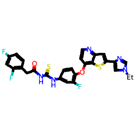 CCn1cnc(-c2cc3nccc(Oc4ccc(NC(=S)NC(=O)Cc5ccc(F)cc5F)cc4F)c3s2)c1